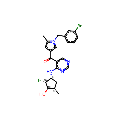 [CH2][C@@H]1C[C@@H](Nc2ncncc2C(=O)c2cc(C)n(Cc3cccc(Br)c3)c2)[C@@H](F)[C@@H]1O